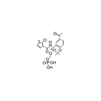 CC(=O)c1ccc2c(c1)[C@@H](NC(=O)c1ccsc1Cl)[C@@H](OCOP(=O)(O)O)C(C)(C)O2